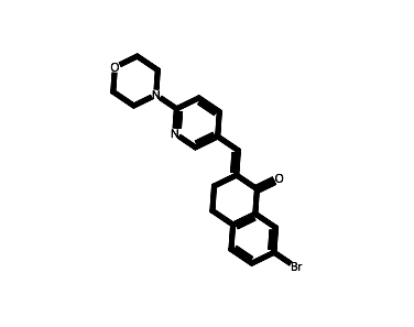 O=C1/C(=C/c2ccc(N3CCOCC3)nc2)CCc2ccc(Br)cc21